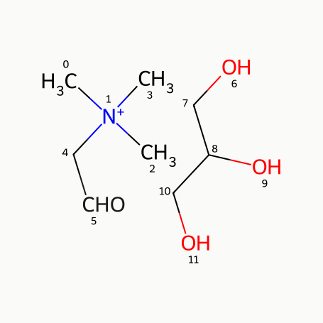 C[N+](C)(C)CC=O.OCC(O)CO